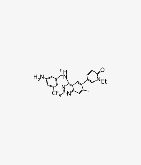 CCn1cc(-c2cc3c(N[C@H](C)c4cc(N)cc(C(F)(F)F)c4)nc(C)nc3cc2C)ccc1=O